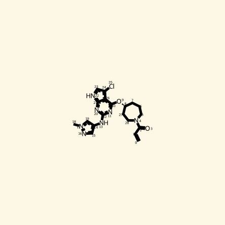 C=CC(=O)N1CCC[C@@H](Oc2nc(Nc3cnn(C)c3)nc3[nH]cc(Cl)c23)CC1